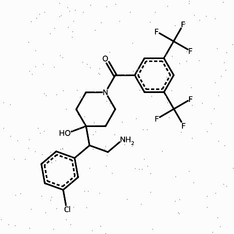 NCC(c1cccc(Cl)c1)C1(O)CCN(C(=O)c2cc(C(F)(F)F)cc(C(F)(F)F)c2)CC1